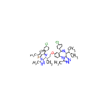 Cc1sc2c(c1C)C(c1ccc(Cl)cc1)=NC(C(C)CCOc1ccc3c(c1)C(c1ccc(Cl)cc1)=NC(C(C)C)c1nnc(C)n1-3)c1nnc(C)n1-2